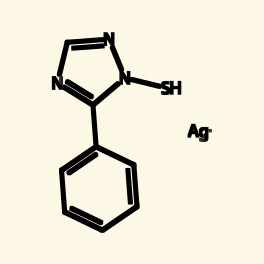 Sn1ncnc1-c1ccccc1.[Ag]